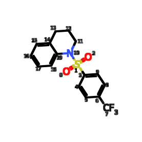 O=S(=O)(c1ccc(C(F)(F)F)cc1)N1CCCc2c[c]ccc21